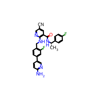 C[C@H](NC(=O)c1cc(C#N)cnc1NCc1ccc(-c2ccc(N)nc2)cc1F)c1ccc(F)cc1